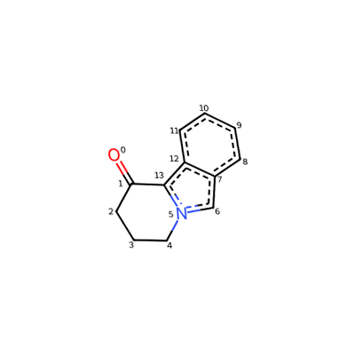 O=C1CCCn2cc3ccccc3c21